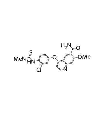 CNC(=S)Nc1ccc(Oc2ccnc3cc(OC)c(C(N)=O)cc23)cc1Cl